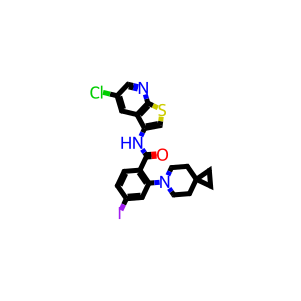 O=C(Nc1csc2ncc(Cl)cc12)c1ccc(I)cc1N1CCC2(CC1)CC2